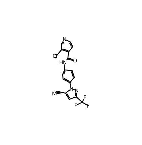 N#Cc1cc(C(F)(F)F)nn1-c1ccc(NC(=O)c2ccncc2Cl)cc1